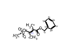 C/C(OS(C)(=O)=O)=C(/C)C(=O)OCc1ccccc1